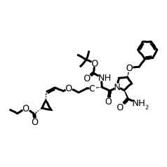 CCOC(=O)[C@H]1C[C@H]1/C=C\COCCC[C@H](NC(=O)OC(C)(C)C)C(=O)N1C[C@H](OCc2ccccc2)C[C@H]1C(N)=O